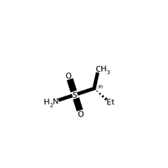 CC[C@@H](C)S(N)(=O)=O